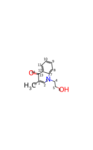 Cc1cn(CCO)c2ccccc2c1=O